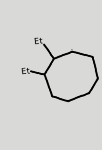 CCC1[CH]CCCCCC1CC